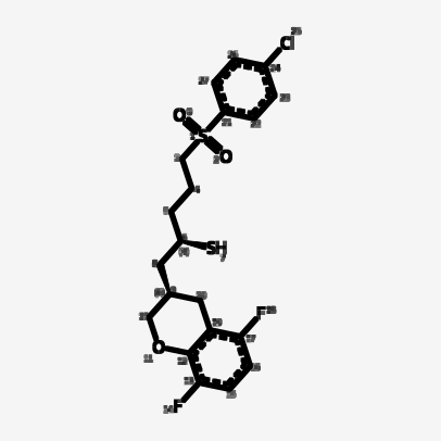 O=S(=O)(CCC[C@@H](S)C[C@@H]1COc2c(F)ccc(F)c2C1)c1ccc(Cl)cc1